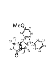 COc1ccc2c(c1)C1C(=C2c2ccccc2)C(C)(C)N2C(=O)CC(C)(C)N12